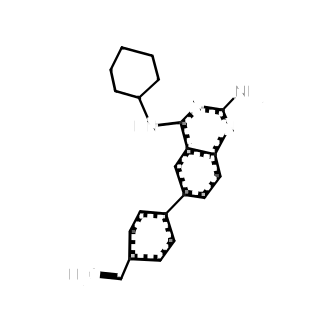 C=Cc1ccc(-c2ccc3nc(N)nc(NC4CCCCC4)c3c2)cc1